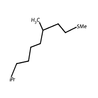 CSCCC(C)CCCCC(C)C